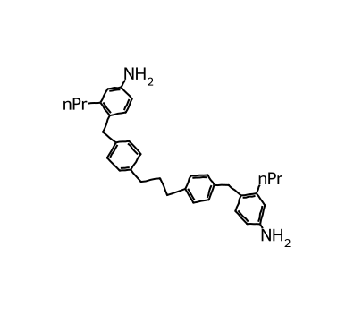 CCCc1cc(N)ccc1Cc1ccc(CCCc2ccc(Cc3ccc(N)cc3CCC)cc2)cc1